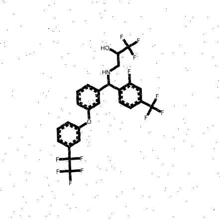 OC(CNC(c1cccc(Oc2cccc(C(F)(F)C(F)(F)F)c2)c1)c1ccc(C(F)(F)F)cc1F)C(F)(F)F